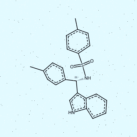 Cc1ccc([C@H](NS(=O)(=O)c2ccc(C)cc2)c2c[nH]c3ccccc23)cc1